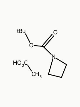 CC(=O)O.CC(C)(C)OC(=O)N1CCC1